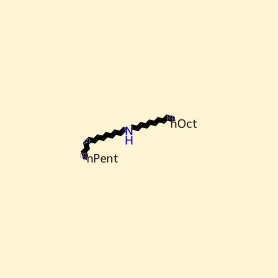 CCCCC/C=C\C/C=C\CCCCCCCCNCCCCCCCC/C=C\CCCCCCCC